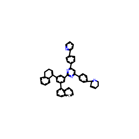 C1=CC(c2ccc(-c3cc(-c4ccc(-c5ccccn5)cc4)nc(-c4cc(C5=CCCc6ccccc65)cc(-c5cccc6ccccc56)c4)n3)cc2)=NCC1